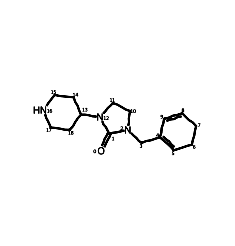 O=C1N(CC2=CCCC=C2)CCN1C1CCNCC1